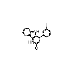 O=c1cc(-c2cccc(I)c2)c2[nH]c3ccccc3c2[nH]1